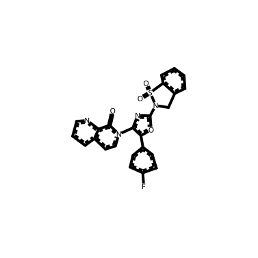 O=c1c2ncccc2ccn1-c1nc(N2Cc3ccccc3S2(=O)=O)oc1-c1ccc(F)cc1